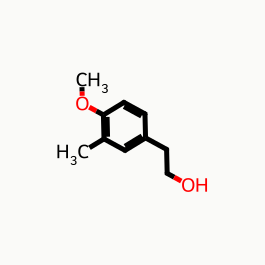 COc1ccc(CCO)cc1C